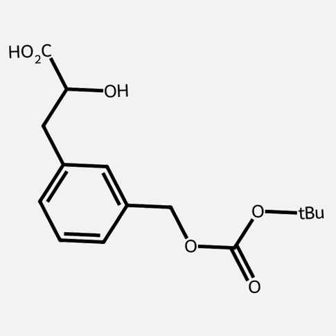 CC(C)(C)OC(=O)OCc1cccc(CC(O)C(=O)O)c1